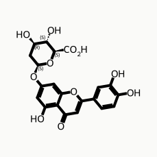 O=C(O)[C@H]1O[C@@H](Oc2cc(O)c3c(=O)cc(-c4ccc(O)c(O)c4)oc3c2)C[C@@H](O)[C@@H]1O